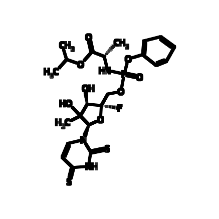 CC(C)OC(=O)[C@H](C)NP(=O)(OC[C@@]1(F)O[C@@H](n2ccc(=S)[nH]c2=S)C(C)(O)[C@H]1O)Oc1ccccc1